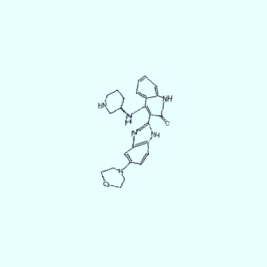 O=c1[nH]c2ccccc2c(NC2CCCNC2)c1-c1nc2cc(N3CCOCC3)ccc2[nH]1